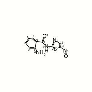 Nc1ccccc1C(=O)Nc1ncc(N=O)s1